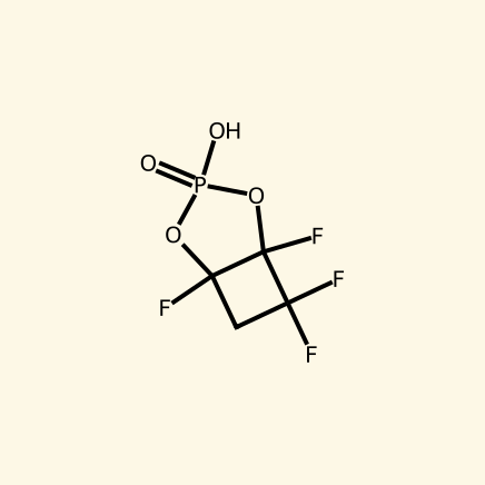 O=P1(O)OC2(F)CC(F)(F)C2(F)O1